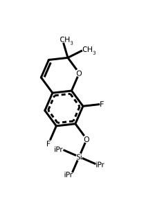 CC(C)[Si](Oc1c(F)cc2c(c1F)OC(C)(C)C=C2)(C(C)C)C(C)C